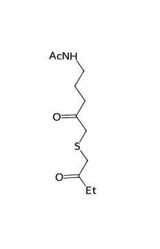 CCC(=O)CSCC(=O)CCCNC(C)=O